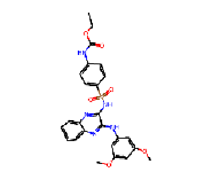 CCOC(=O)Nc1ccc(S(=O)(=O)Nc2nc3ccccc3nc2Nc2cc(OC)cc(OC)c2)cc1